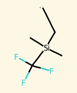 [CH2]C[Si](C)(C)C(F)(F)F